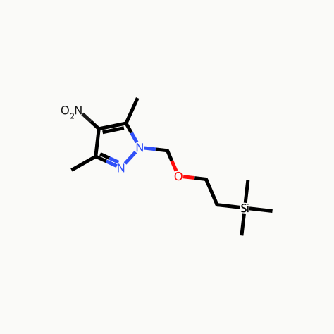 Cc1nn(COCC[Si](C)(C)C)c(C)c1[N+](=O)[O-]